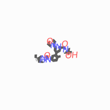 CC[C@@H]1CCN(C(=O)Nc2ccc(C)c(-c3cc(C(=O)N4CC(C)(O)C4)nc(N4CCOCC4)c3)c2)C1